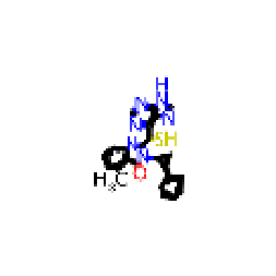 Cc1cccc2nc(C(S)c3ncnc4[nH]cnc34)n(C3CC3c3ccccc3)c(=O)c12